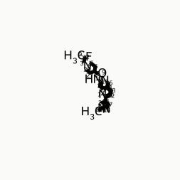 C[C@H](F)CN1CCC(C(=O)Nc2cc3nc(-c4cnn(C)c4)ccc3cn2)CC1